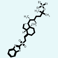 CC[Si](CC)(CC)OC(C)(C)CC[C@@H](F)[C@@H](C)[C@H]1CC[C@H]2/C(=C/CS(=O)(=O)c3nc4ccccc4s3)CCC[C@]12C